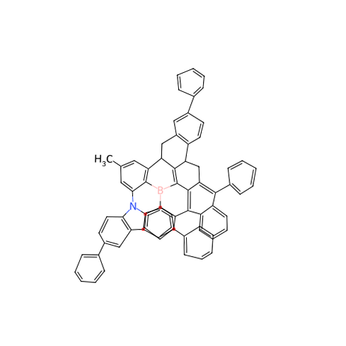 Cc1cc2c3c(c1)N1C4=C(C=C(c5ccccc5)CC4c4cc(-c5ccccc5)ccc41)B3C1=C3C(Cc4c1c(-c1ccccc1)c1ccccc1c4-c1ccccc1)c1ccc(-c4ccccc4)cc1CC32